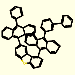 C1=CC2C(c3ccccc3)=c3ccccc3=C(c3ccc4sc5cccc(-c6c7ccccc7c(-c7cccc(-c8ccccc8)c7)c7ccccc67)c5c4c3)C2C=C1